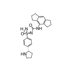 NS(=O)(=NC(=O)Nc1c2c(cc3c1CCC3)CCC2)c1ccc([C@@H]2CCCN2)cc1